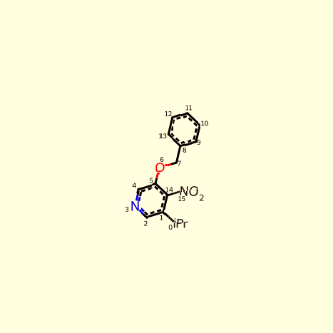 CC(C)c1cncc(OCc2ccccc2)c1[N+](=O)[O-]